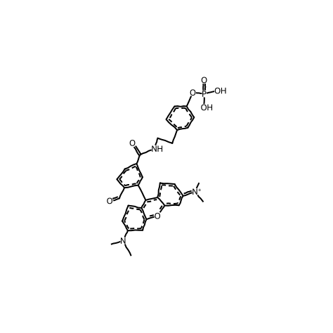 CN(C)c1ccc2c(-c3cc(C(=O)NCCc4ccc(OP(=O)(O)O)cc4)ccc3C=O)c3ccc(=[N+](C)C)cc-3oc2c1